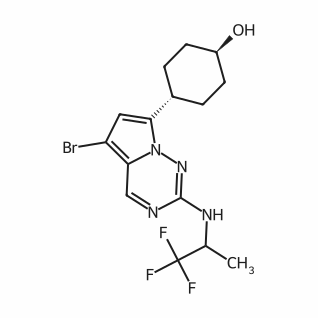 CC(Nc1ncc2c(Br)cc([C@H]3CC[C@H](O)CC3)n2n1)C(F)(F)F